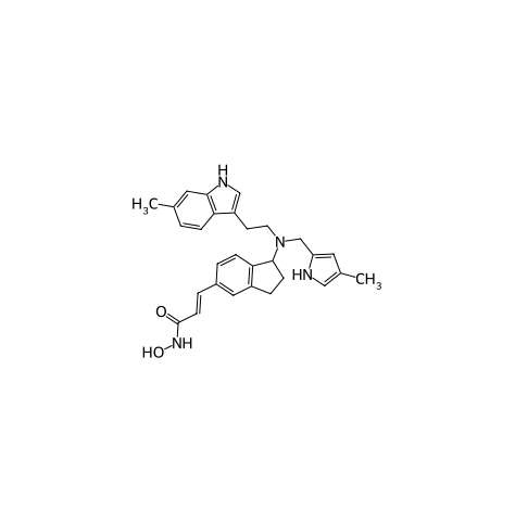 Cc1c[nH]c(CN(CCc2c[nH]c3cc(C)ccc23)C2CCc3cc(C=CC(=O)NO)ccc32)c1